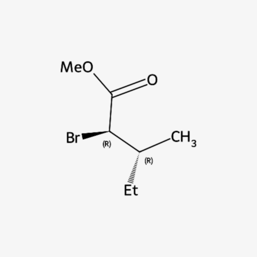 CC[C@@H](C)[C@@H](Br)C(=O)OC